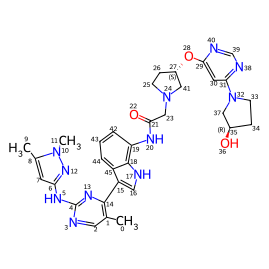 Cc1cnc(Nc2cc(C)n(C)n2)nc1-c1c[nH]c2c(NC(=O)CN3CC[C@H](Oc4cc(N5CC[C@@H](O)C5)ncn4)C3)cccc12